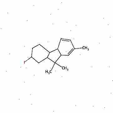 CC1=CC2C(C=C1)C1CCC(I)CC1C2(C)C